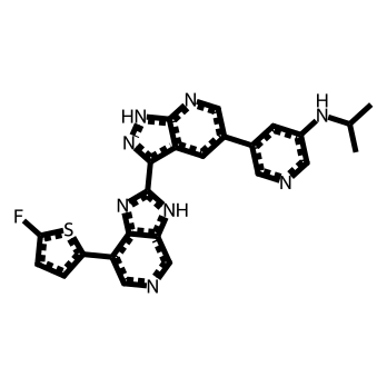 CC(C)Nc1cncc(-c2cnc3[nH]nc(-c4nc5c(-c6ccc(F)s6)cncc5[nH]4)c3c2)c1